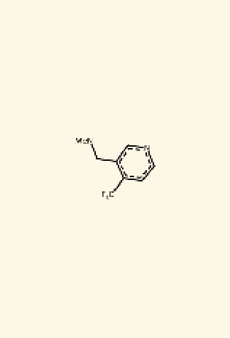 CNCc1cnccc1C(F)(F)F